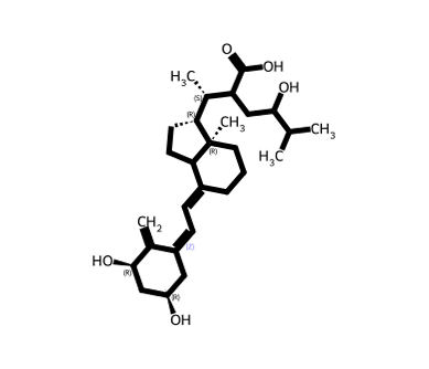 C=C1/C(=C\C=C2CCC[C@@]3(C)C2CC[C@@H]3[C@H](C)C(CC(O)C(C)C)C(=O)O)C[C@@H](O)C[C@H]1O